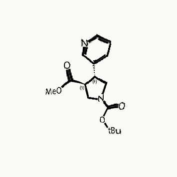 COC(=O)[C@@H]1CN(C(=O)OC(C)(C)C)C[C@H]1c1cccnc1